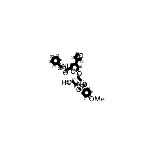 COc1ccc(S(=O)(=O)N(CCO)CCOC2CC(c3ccoc3)C=C(C(=O)NCc3ccccc3)O2)cc1